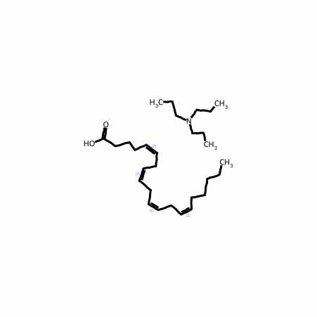 CCCCC/C=C\C/C=C\C/C=C\C/C=C\CCCC(=O)O.CCCN(CCC)CCC